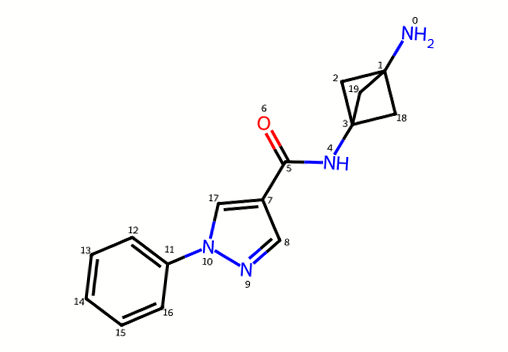 NC12CC(NC(=O)c3cnn(-c4ccccc4)c3)(C1)C2